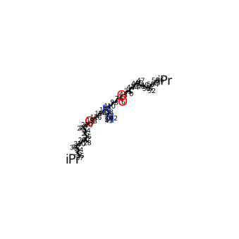 C/C(=C\COC(=O)CCCCCN(CCCCCCOCC[C@H](C)CCCC(C)CCC[C@H](C)CCCC(C)C)CCN(C)C)CCCC(C)CCC[C@H](C)CCCC(C)C